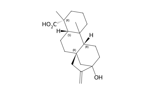 C=C1C[C@@]23CC[C@H]4C(C)(CCC[C@@]4(C)C(=O)O)[C@@H]2CCC1(O)C3